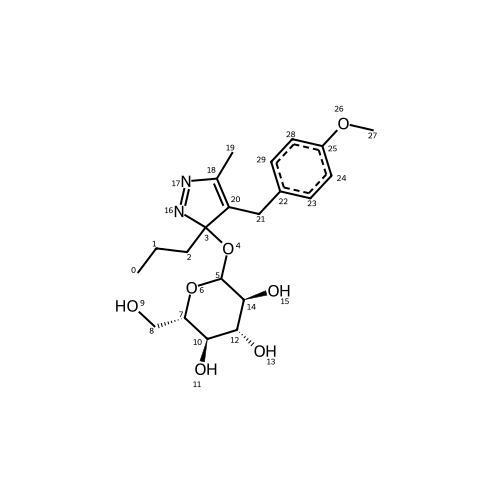 CCCC1(OC2O[C@@H](CO)[C@H](O)[C@@H](O)[C@@H]2O)N=NC(C)=C1Cc1ccc(OC)cc1